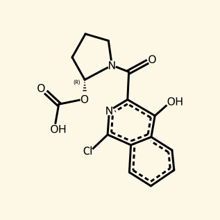 O=C(O)O[C@@H]1CCCN1C(=O)c1nc(Cl)c2ccccc2c1O